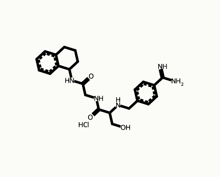 Cl.N=C(N)c1ccc(CNC(CO)C(=O)NCC(=O)NC2CCCc3ccccc32)cc1